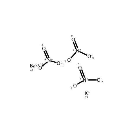 O=[N+]([O-])[O-].O=[N+]([O-])[O-].O=[N+]([O-])[O-].[Ba+2].[K+]